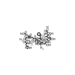 CC(C)[C@H](NC(=O)[C@H](CC(=O)O)NC(=O)[C@H](CO)NC(=O)[C@@H](NC(=O)[C@H](Cc1ccccc1)NC(=O)[C@@H](NC(=O)CNC(=O)[C@H](CCC(=O)O)NC(=O)[C@H](C)NC(=O)[C@@H](N)Cc1c[nH]cn1)[C@@H](C)O)[C@@H](C)O)C(=O)N[C@@H](CO)C(=O)O